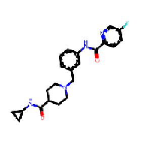 O=C(Nc1cccc(CN2CCC(C(=O)NC3CC3)CC2)c1)c1ccc(F)cn1